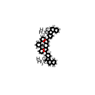 CC1(C)c2cc(-c3ccc4c(c3)Cc3cc(-c5ccc6c(c5)C(C)(C)C5C=Cc7ccccc7C65)ccc3N4c3c(-c4ccccc4)cccc3-c3ccccc3)ccc2-c2c1ccc1ccccc21